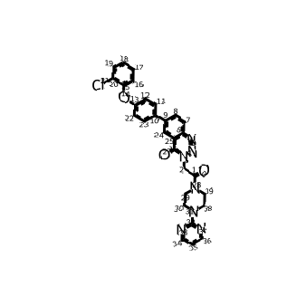 O=C(Cn1nnc2ccc(-c3ccc(Oc4ccccc4Cl)cc3)cc2c1=O)N1CCN(c2ncccn2)CC1